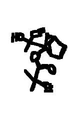 CCC(C)(C)C(=O)OC1(C(C)(O)C(F)(F)F)CC2CCC1C2